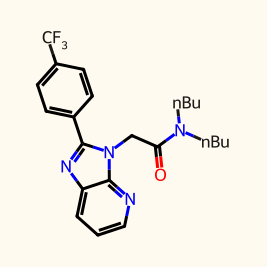 CCCCN(CCCC)C(=O)Cn1c(-c2ccc(C(F)(F)F)cc2)nc2cccnc21